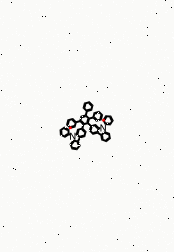 c1ccc(-c2cc(-c3ccccc3)c(-c3ccc4c5ccccc5n(-c5ccccc5)c4c3)c(-c3ccc4c5ccccc5n(-c5ccccc5)c4c3)c2-c2ccccc2)cc1